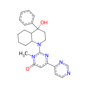 Cn1c(N2CCC(O)(c3ccccc3)C3CCCCC32)nc(-c2ccncn2)cc1=O